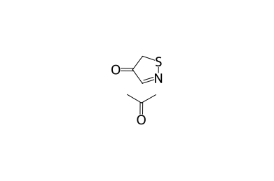 CC(C)=O.O=C1C=NSC1